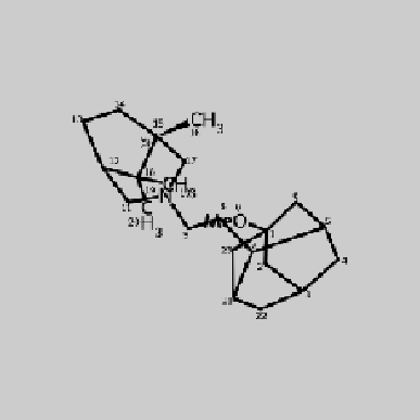 COC12CC3CC(C1)C(CCN1CC4CC[C@](C)(C1)C4(C)C)C(C3)C2